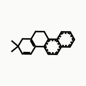 CC1(C)C=CC2=C(CCc3c2ccc2ccccc32)C1